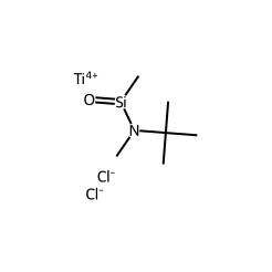 CN([Si](C)=O)C(C)(C)C.[Cl-].[Cl-].[Ti+4]